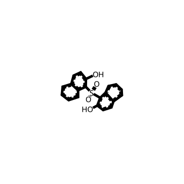 O=S(=O)(c1c(O)ccc2ccccc12)c1c(O)ccc2ccccc12